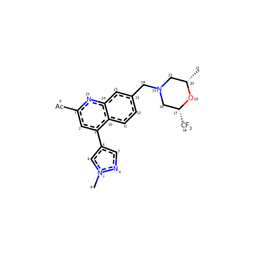 CC(=O)c1cc(-c2cnn(C)c2)c2ccc(CN3C[C@@H](C(F)(F)F)O[C@@H](C)C3)cc2n1